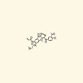 C=CC(=O)Nc1cc(Nc2cc(Nc3ccc(OC)c(C(C)=O)c3)ncn2)c(OC)cc1N(C)CCN(C)C